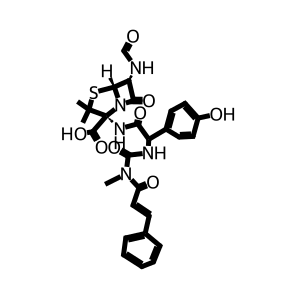 CN(C(=O)C=Cc1ccccc1)C(=O)NC(C(=O)N[C@@]1(C(=O)O)N2C(=O)[C@@H](NC=O)[C@H]2SC1(C)C)c1ccc(O)cc1